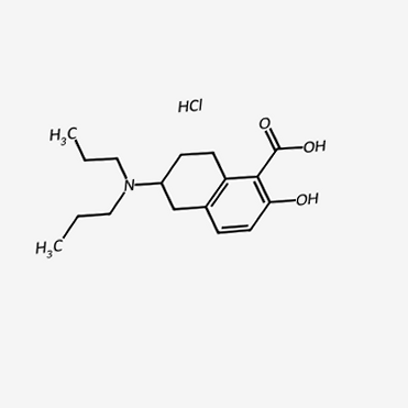 CCCN(CCC)C1CCc2c(ccc(O)c2C(=O)O)C1.Cl